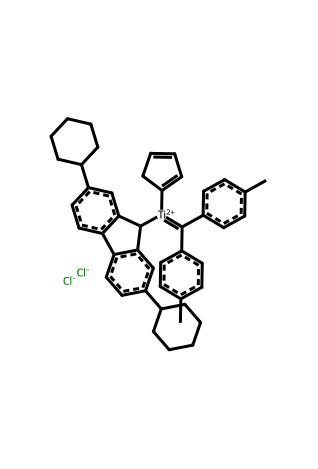 Cc1ccc([C](c2ccc(C)cc2)=[Ti+2]([C]2=CC=CC2)[CH]2c3cc(C4CCCCC4)ccc3-c3ccc(C4CCCCC4)cc32)cc1.[Cl-].[Cl-]